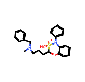 CN(CCCC1Oc2ccccc2N(c2ccccc2)S1(O)O)Cc1ccccc1